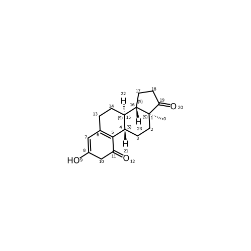 C[C@]12CC[C@@H]3C4=C(C=C(O)CC4=O)CC[C@H]3[C@@H]1CCC2=O